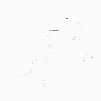 CO/C=C1\CN(c2nc3c(cc2F)c(=O)c(C(=O)O)cn3C2CC2)CC1CN